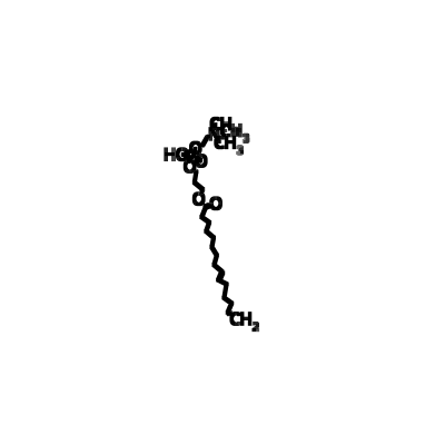 C=CCCC/C=C/CCCCCCCC(=O)OCCCOP(=O)(O)OCC[N+](C)(C)C